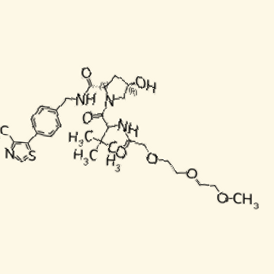 COCCOCCOCC(=O)NC(C(=O)N1C[C@H](O)C[C@H]1C(=O)NCc1ccc(-c2scnc2C)cc1)C(C)(C)C